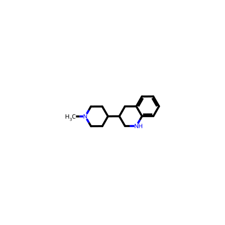 CN1CCC(C2CNc3ccccc3C2)CC1